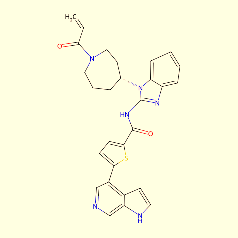 C=CC(=O)N1CCC[C@@H](n2c(NC(=O)c3ccc(-c4cncc5[nH]ccc45)s3)nc3ccccc32)CC1